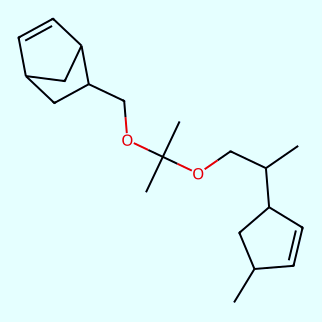 CC1C=CC(C(C)COC(C)(C)OCC2CC3C=CC2C3)C1